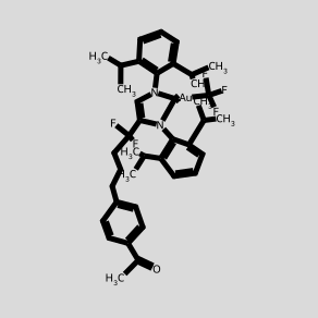 CC(=O)c1ccc(CCCC(F)(F)c2cn(-c3c(C(C)C)cccc3C(C)C)[c](=[Au][C](F)(F)F)n2-c2c(C(C)C)cccc2C(C)C)cc1